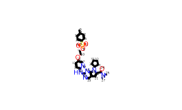 Cc1ccc(S(=O)(=O)OCCOc2ccc(Nc3ncc4cc(C(=O)N(C)C)n(C5CCCC5)c4n3)nc2)cc1